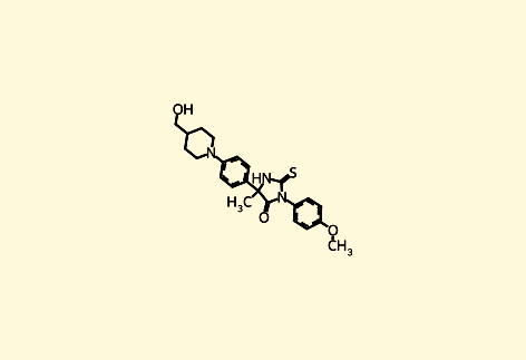 COc1ccc(N2C(=O)C(C)(c3ccc(N4CCC(CO)CC4)cc3)NC2=S)cc1